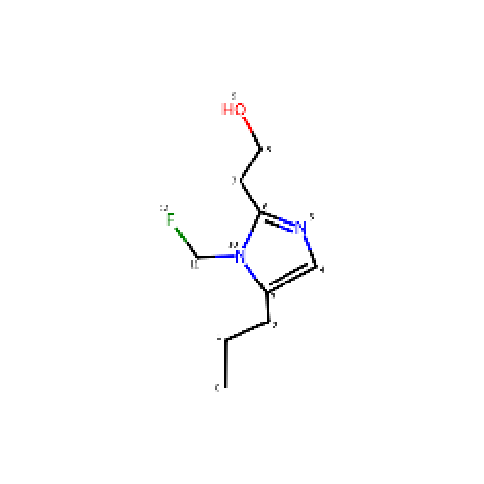 CCCc1cnc(CCO)n1CF